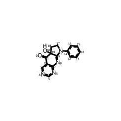 O=C1c2cncnc2N=C2N(c3ccccc3)CCC12O